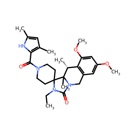 CCN1C(=O)N2Cc3cc(OC)cc(OC)c3[C@@H](C)C2(C)C12CCN(C(=O)c1[nH]c(C)cc1C)CC2